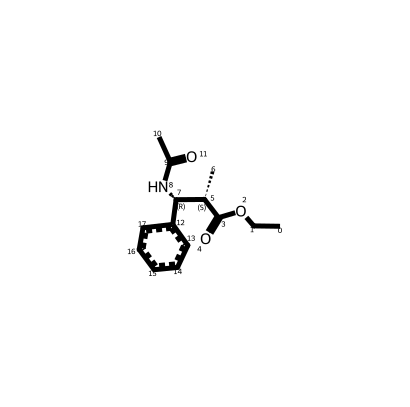 CCOC(=O)[C@@H](C)[C@@H](NC(C)=O)c1ccccc1